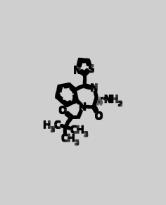 CC(C)(C)C(=O)CN1C(=O)[C@@H](N)N=C(c2nccs2)c2ccccc21